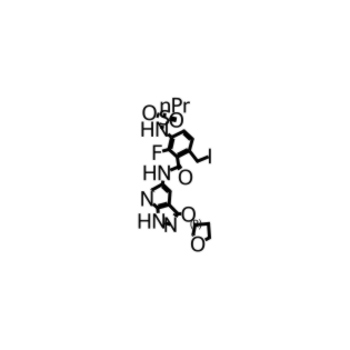 CCCS(=O)(=O)Nc1ccc(CI)c(C(=O)Nc2cnc3[nH]nc(O[C@@H]4CCOC4)c3c2)c1F